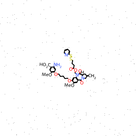 C=C1C[C@H]2C(=O)N(COC(=O)CCCSSc3ccccn3)c3cc(OCCCCCOc4cc(N)c(C(=O)O)cc4OC)c(OC)cc3C(=O)N2C1